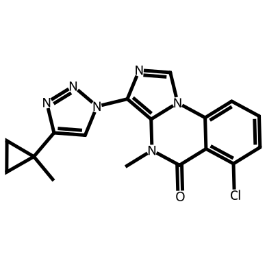 Cn1c(=O)c2c(Cl)cccc2n2cnc(-n3cc(C4(C)CC4)nn3)c12